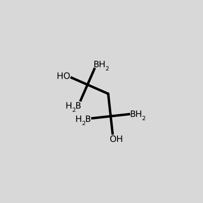 BC(B)(O)CC(B)(B)O